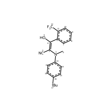 CN(/C(C#N)=C(/O)c1ccccc1C(F)(F)F)c1ccc(C(C)(C)C)cc1